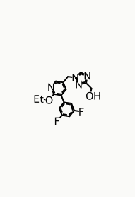 CCOc1ncc(Cn2cnc(CO)n2)cc1-c1cc(F)cc(F)c1